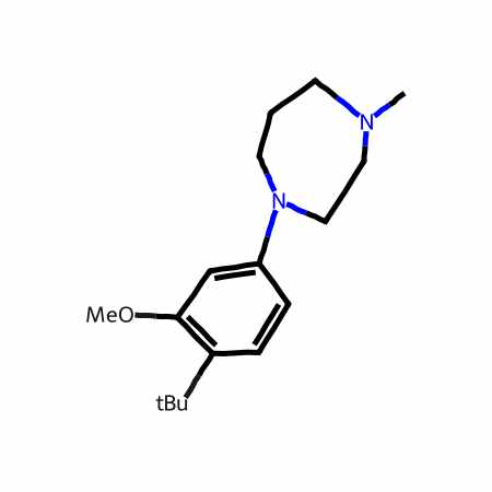 COc1cc(N2CCCN(C)CC2)ccc1C(C)(C)C